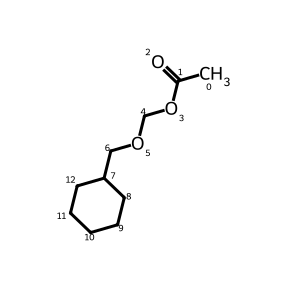 CC(=O)OCOCC1CCCCC1